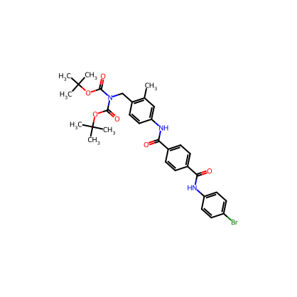 Cc1cc(NC(=O)c2ccc(C(=O)Nc3ccc(Br)cc3)cc2)ccc1CN(C(=O)OC(C)(C)C)C(=O)OC(C)(C)C